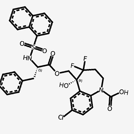 O=C(OC[C@]1(O)c2cc(Cl)ccc2N(C(=O)O)CCC1(F)F)[C@H](Cc1ccccc1)NS(=O)(=O)c1cccc2ccccc12